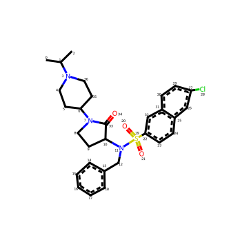 CC(C)N1CCC(N2CCC(N(Cc3ccccc3)S(=O)(=O)c3ccc4cc(Cl)ccc4c3)C2=O)CC1